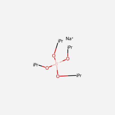 CC(C)O[B-](OC(C)C)(OC(C)C)OC(C)C.[Na+]